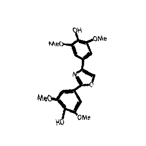 COc1cc(-c2coc(-c3cc(OC)c(O)c(OC)c3)n2)cc(OC)c1O